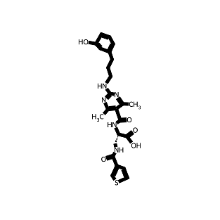 Cc1nc(NCCCc2cccc(O)c2)nc(C)c1C(=O)N[C@@H](CNC(=O)c1ccsc1)C(=O)O